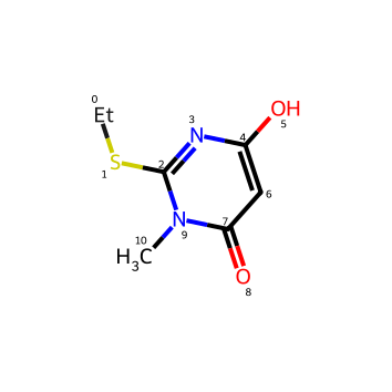 CCSc1nc(O)cc(=O)n1C